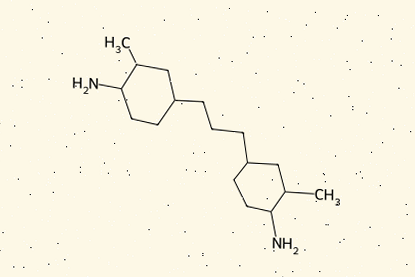 CC1CC(CCCC2CCC(N)C(C)C2)CCC1N